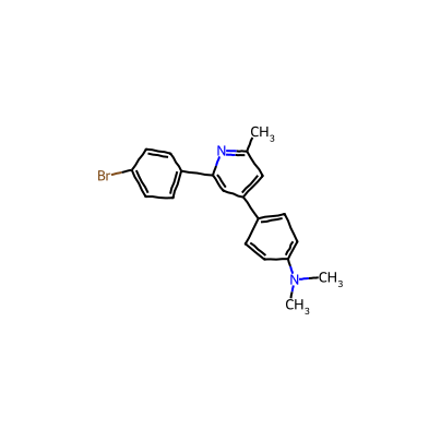 Cc1cc(-c2ccc(N(C)C)cc2)cc(-c2ccc(Br)cc2)n1